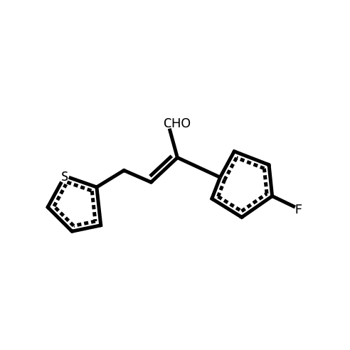 O=CC(=CCc1cccs1)c1ccc(F)cc1